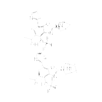 CC(O)c1cc(-c2nccs2)c2oc(N3CC4CC(C3)N4)nc2c1OC(F)(F)F.CC(O)c1cc(-c2nccs2)c2oc(N3CC4CCC(C3)N4)nc2c1OC(F)(F)F